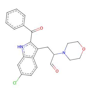 O=CC(Cc1c(C(=O)c2ccccc2)[nH]c2cc(Cl)ccc12)N1CCOCC1